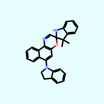 CC1(C)c2ccccc2NC12C=Nc1c(cc(N3CCc4ccccc43)c3ccccc13)O2